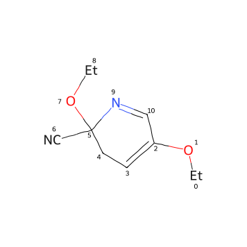 CCOC1=CCC(C#N)(OCC)N=C1